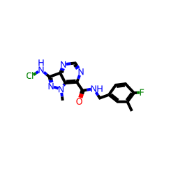 Cc1cc(CNC(=O)c2ncnc3c(NCl)nn(C)c23)ccc1F